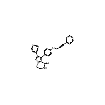 O=C1NCCn2nc(-c3ccncc3)c(-c3ccc(OCC#Cc4ccccc4)cc3)c21